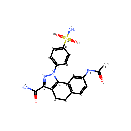 CCCC(=O)Nc1ccc2c(c1)-c1c(c(C(N)=O)nn1-c1ccc(S(N)(=O)=O)cc1)CC2